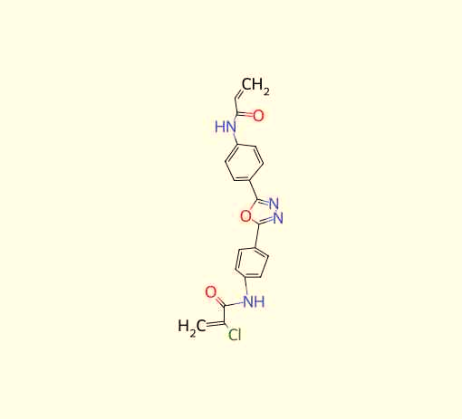 C=CC(=O)Nc1ccc(-c2nnc(-c3ccc(NC(=O)C(=C)Cl)cc3)o2)cc1